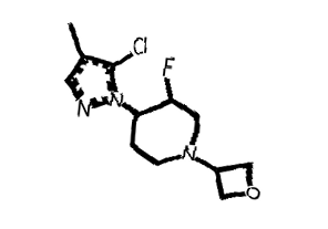 Cc1cnn(C2CCN(C3COC3)CC2F)c1Cl